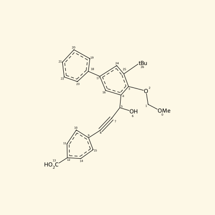 COCOc1c(C(O)C#Cc2ccc(C(=O)O)cc2)cc(-c2ccccc2)cc1C(C)(C)C